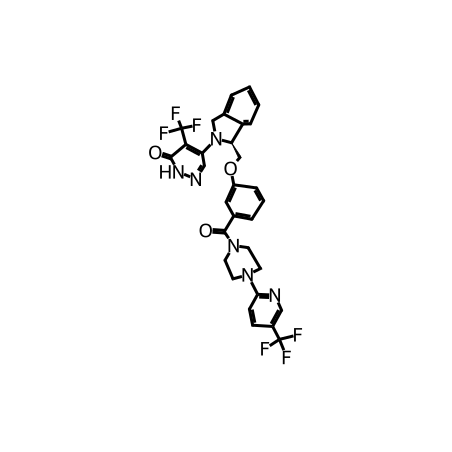 O=C(c1cccc(OC[C@@H]2c3ccccc3CN2c2cn[nH]c(=O)c2C(F)(F)F)c1)N1CCN(c2ccc(C(F)(F)F)cn2)CC1